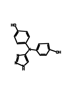 Oc1ccc(N(c2ccc(O)cc2)c2c[nH]nn2)cc1